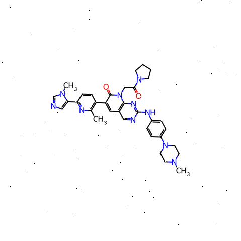 Cc1nc(-c2cncn2C)ccc1-c1cc2cnc(Nc3ccc(N4CCN(C)CC4)cc3)nc2n(CC(=O)N2CCCC2)c1=O